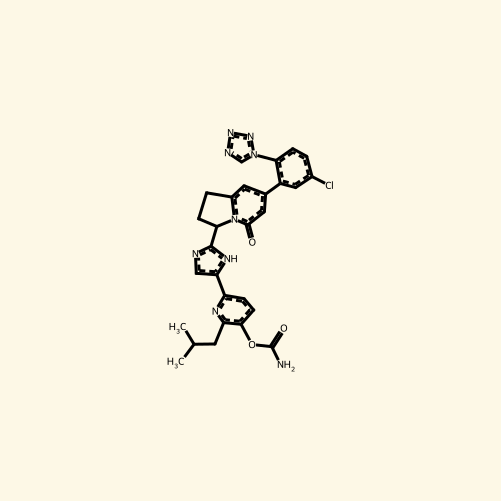 CC(C)Cc1nc(-c2cnc(C3CCc4cc(-c5cc(Cl)ccc5-n5cnnn5)cc(=O)n43)[nH]2)ccc1OC(N)=O